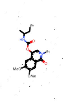 CCn1cc(OC(=O)NC(C)CC(C)C)c2cc(OC)c(OC)cc2c1=O